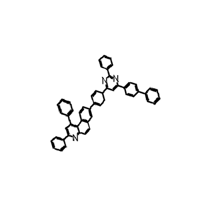 C1=CC(c2cc(-c3ccc(-c4ccccc4)cc3)nc(-c3ccccc3)n2)CC=C1c1ccc2c(ccc3nc(-c4ccccc4)cc(-c4ccccc4)c32)c1